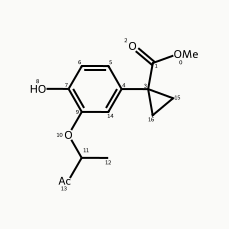 COC(=O)C1(c2ccc(O)c(OC(C)C(C)=O)c2)CC1